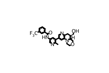 Cc1ncc(NC(=O)c2cccc(C(F)(F)F)c2)cc1-c1cnc2c(c1)N1CCOC[C@H]1[C@H](CO)C2